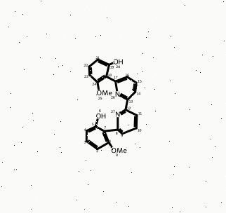 COc1cccc(O)c1-c1cccc(-c2cccc(-c3c(O)cccc3OC)n2)n1